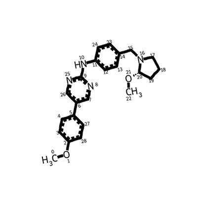 COc1ccc(-c2cnc(Nc3ccc(CN4CCC[C@@H]4OC)cc3)nc2)cc1